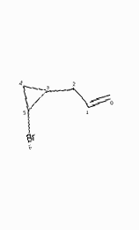 C=CC[C]1CC1Br